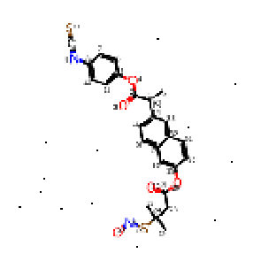 C[C@H](C(=O)Oc1ccc(N=C=S)cc1)c1ccc2cc(OC(=O)CC(C)(C)SN=O)ccc2c1